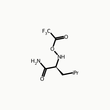 CC(C)C[C@H](NOC(=O)C(F)(F)F)C(N)=O